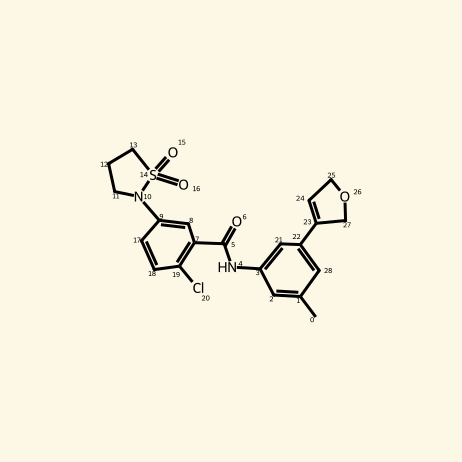 Cc1cc(NC(=O)c2cc(N3CCCS3(=O)=O)ccc2Cl)cc(C2=CCOC2)c1